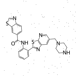 O=C(Nc1ccccc1-c1nc2cc(CN3CCNCC3)cnc2s1)c1ccc2ncsc2c1